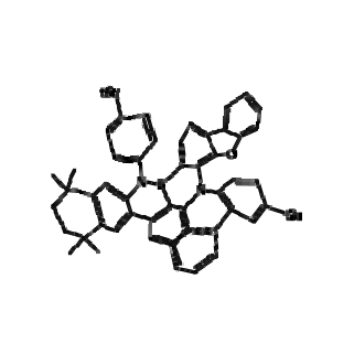 Cc1cc2c3c(c1)N(c1ccc(C(C)(C)C)cc1-c1ccccc1)c1c(ccc4c1oc1ccccc14)B3N(c1ccc(C(C)(C)C)cc1)c1cc3c(cc1-2)C(C)(C)CCC3(C)C